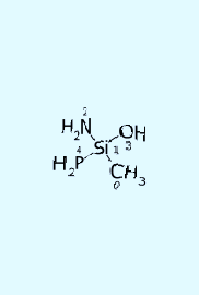 C[Si](N)(O)P